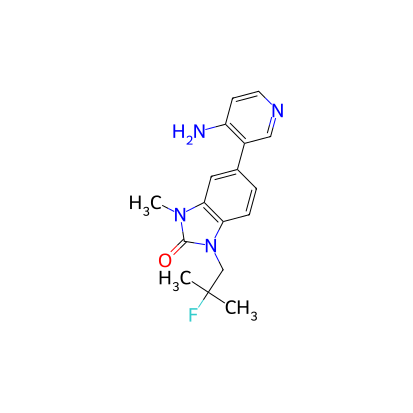 Cn1c(=O)n(CC(C)(C)F)c2ccc(-c3cnccc3N)cc21